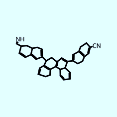 N#CC1=CC2=C(C=C(C3=CC4=C(C5=C(C=CCC5)C(C5=CCC6CC(C=N)C=CC6=C5)C4)C4C=CC=CC34)CC2)CC1